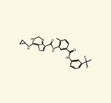 Cc1ccc(C(=O)Nc2cccc(C(F)(F)F)c2)cc1NC(=O)c1csc2c1=NCNC=2NC1CC1